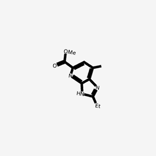 CCc1nc2c(C)cc(C(=O)OC)nc2[nH]1